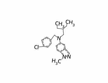 CCC(CC)CN(Cc1ccc(Cl)cc1)c1ccc2c(cnn2C)c1